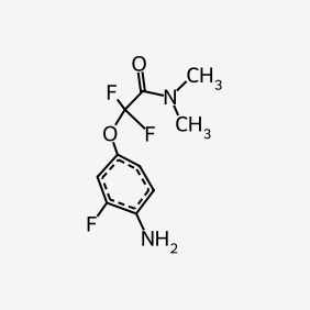 CN(C)C(=O)C(F)(F)Oc1ccc(N)c(F)c1